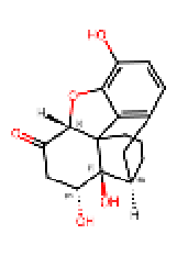 O=C1C[C@@H](O)[C@@]2(O)[C@@H]3CCCC24c2c(ccc(O)c2O[C@@H]14)C3